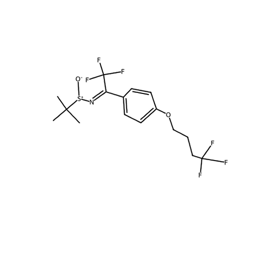 CC(C)(C)[S+]([O-])N=C(c1ccc(OCCCC(F)(F)F)cc1)C(F)(F)F